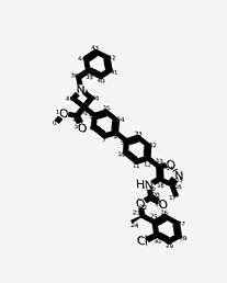 COC(=O)C1(c2ccc(-c3ccc(-c4onc(C)c4NC(=O)O[C@H](C)c4ccccc4Cl)cc3)cc2)CN(Cc2ccccc2)C1